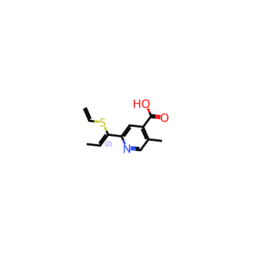 C=CS/C(=C\C)c1cc(C(=O)O)c(C)cn1